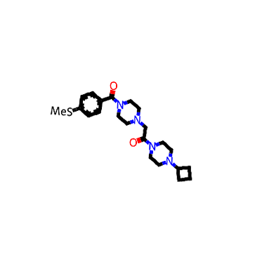 CSc1ccc(C(=O)N2CCN(CC(=O)N3CCN(C4CCC4)CC3)CC2)cc1